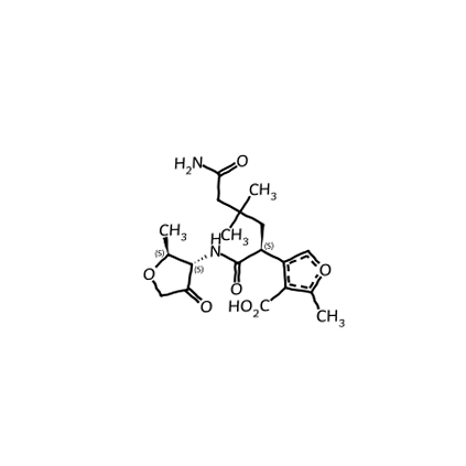 Cc1occ([C@H](CC(C)(C)CC(N)=O)C(=O)N[C@@H]2C(=O)CO[C@H]2C)c1C(=O)O